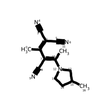 CC(=C(C#N)C#N)/C(C#N)=C(\C)N1CCC(C)C1